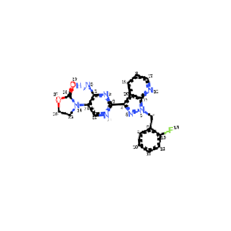 Nc1nc(-c2nn(Cc3ccccc3F)c3ncccc23)ncc1N1CCOC1=O